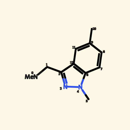 CNCc1nn(C)c2ccc(C)cc12